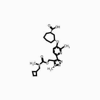 Cc1nc(-c2nnn(C)c2COC(=O)N(C)CC2CCC2)ccc1O[C@@H]1CCCC[C@@H](C(=O)O)C1